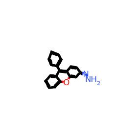 N/N=c1/ccc2c(-c3ccccc3)c3ccccc3oc-2c1